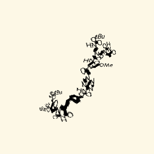 COC(=O)CN(CCNC(=O)CN(CCNC(=O)OC(C)(C)C)C(=O)Cn1cc(C)c(=O)[nH]c1=O)C(=O)Cn1cnc2c(NC(=O)OCc3ccc(C#Cc4cn([C@H]5C[C@@H](O[Si](C)(C)C(C)(C)C)[C@@H](CO[Si](C)(C)C(C)(C)C)O5)c(=O)[nH]c4=O)cc3)ncnc21